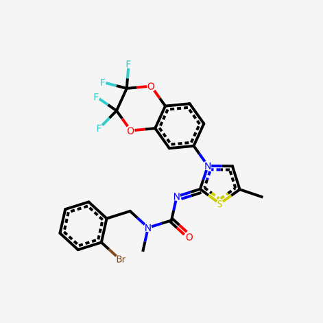 Cc1cn(-c2ccc3c(c2)OC(F)(F)C(F)(F)O3)/c(=N/C(=O)N(C)Cc2ccccc2Br)s1